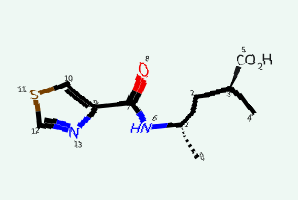 C[C@@H](C[C@H](C)C(=O)O)NC(=O)c1cscn1